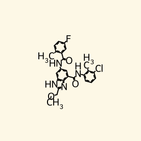 COCc1nc2c(C(=O)Nc3cccc(Cl)c3C)cc(NC(=O)c3cc(F)ccc3C)cc2[nH]1